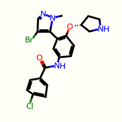 Cn1ncc(Br)c1-c1cc(NC(=O)c2ccc(Cl)cc2)ccc1O[C@@H]1CCNC1